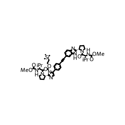 COC(=O)N[C@H](C(=O)N1CCC[C@H]1c1nc2ccc(C#Cc3ccc(-c4cnc([C@@H]5CCCN5C(=O)[C@@H](NC(=O)OC)C(C)C)n4COCC[Si](C)(C)C)cc3)cc2[nH]1)C(C)C